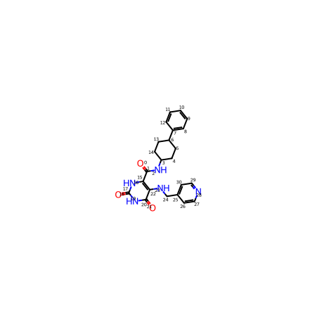 O=C(NC1CCC(c2ccccc2)CC1)c1[nH]c(=O)[nH]c(=O)c1NCc1ccncc1